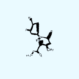 COC(=O)c1nn(-c2ccc(C#N)c(F)c2)c(=O)cc1O